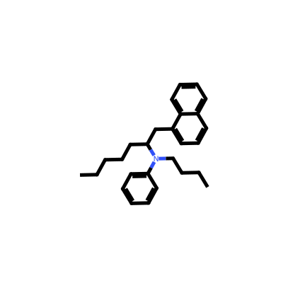 CCCCCC(Cc1cccc2ccccc12)N(CCCC)c1ccccc1